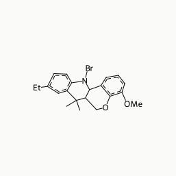 CCc1ccc2c(c1)C(C)(C)C1COc3c(OC)cccc3C1N2Br